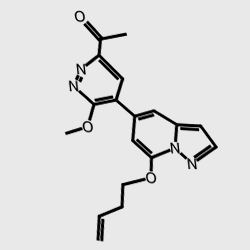 C=CCCOc1cc(-c2cc(C(C)=O)nnc2OC)cc2ccnn12